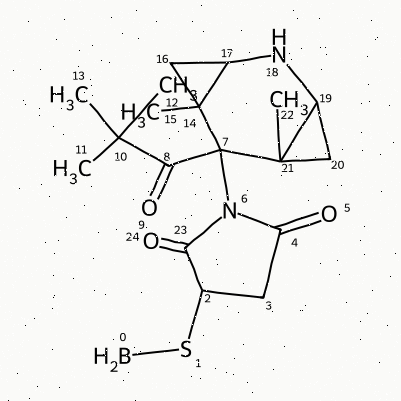 BSC1CC(=O)N(C2(C(=O)C(C)(C)C)C3(C)CC3NC3CC32C)C1=O